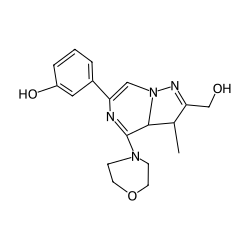 CC1C(CO)=NN2C=C(c3cccc(O)c3)N=C(N3CCOCC3)C12